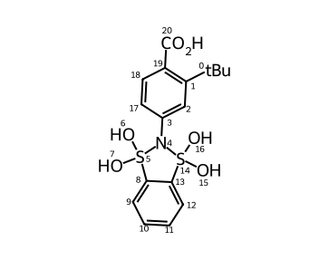 CC(C)(C)c1cc(N2S(O)(O)c3ccccc3S2(O)O)ccc1C(=O)O